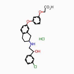 Cl.O=C(O)COc1cccc(Oc2ccc3c(c2)C[C@@H](NC[C@H](O)c2cccc(Cl)c2)CC3)c1